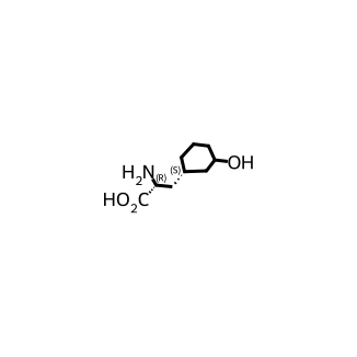 N[C@H](C[C@@H]1CCCC(O)C1)C(=O)O